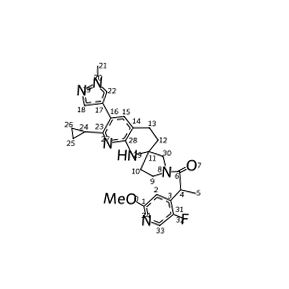 COc1cc(C(C)C(=O)N2CCC3(CCc4cc(-c5cnn(C)c5)c(C5CC5)nc4N3)C2)c(F)cn1